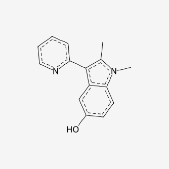 Cc1c(-c2ccccn2)c2cc(O)ccc2n1C